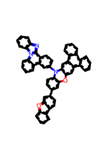 c1ccc2c(c1)nc1c3ccc(N4c5ccc(-c6ccc7c(c6)oc6ccccc67)cc5Oc5cc6c7ccccc7c7ccccc7c6cc54)cc3c3ccccc3n21